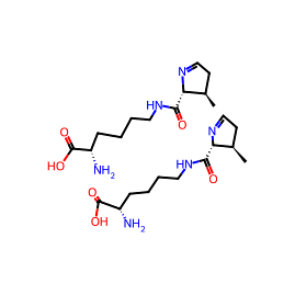 C[C@@H]1CC=N[C@H]1C(=O)NCCCC[C@H](N)C(=O)O.C[C@@H]1CC=N[C@H]1C(=O)NCCCC[C@H](N)C(=O)O